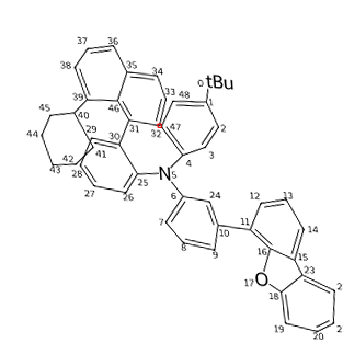 CC(C)(C)c1ccc(N(c2cccc(-c3cccc4c3oc3ccccc34)c2)c2ccccc2-c2cccc3cccc(C4CCCCC4)c23)cc1